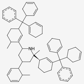 CC1CCC(C(C2=CCCC=C2)(c2ccccc2)C2C=CC=CC2)C=C1C1CC(C2C=CC=CC2C)CC(C)([C@H]2C=C(C(C3=CCCC=C3)(c3ccccc3)C3CC=CCC3)CCC2)N1